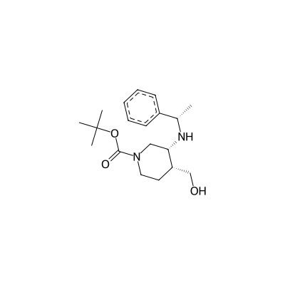 C[C@H](N[C@H]1CN(C(=O)OC(C)(C)C)CC[C@H]1CO)c1ccccc1